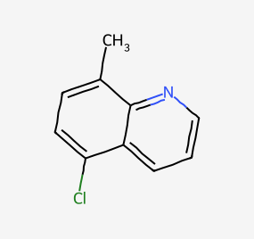 Cc1ccc(Cl)c2cccnc12